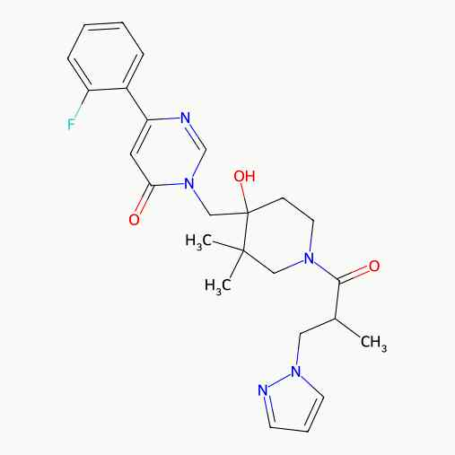 CC(Cn1cccn1)C(=O)N1CCC(O)(Cn2cnc(-c3ccccc3F)cc2=O)C(C)(C)C1